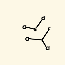 ClSCl.FC(Cl)Cl